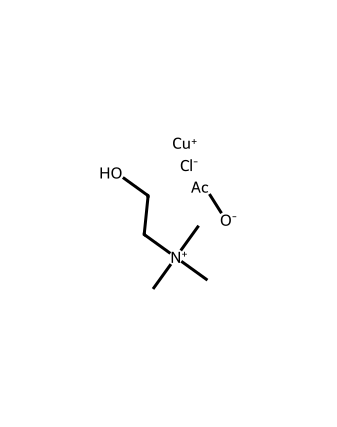 CC(=O)[O-].C[N+](C)(C)CCO.[Cl-].[Cu+]